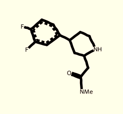 CNC(=O)CC1CC(c2ccc(F)c(F)c2)CCN1